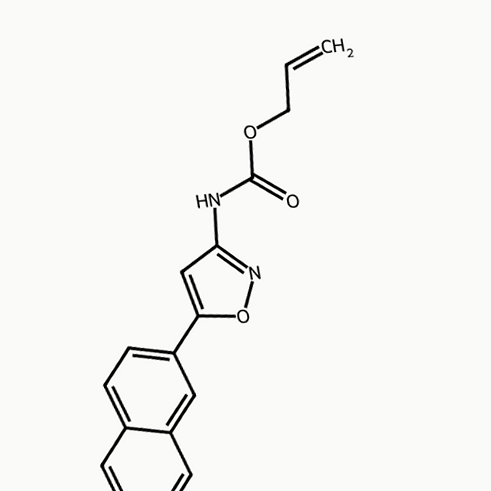 C=CCOC(=O)Nc1cc(-c2ccc3cnccc3c2)on1